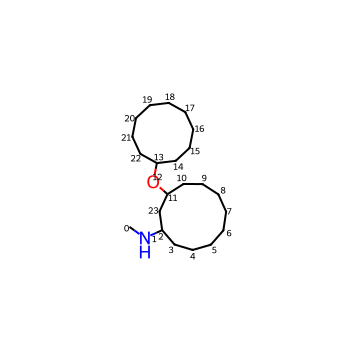 CNC1CCCCCCCCC(OC2CCCCCCCCC2)C1